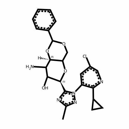 Cc1nc([C@@H]2OC3COC(c4ccccc4)O[C@@H]3C(N)C2O)n(-c2cc(Cl)cnc2C2CC2)n1